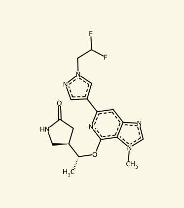 C[C@@H](Oc1nc(-c2cnn(CC(F)F)c2)cc2ncn(C)c12)[C@H]1CNC(=O)C1